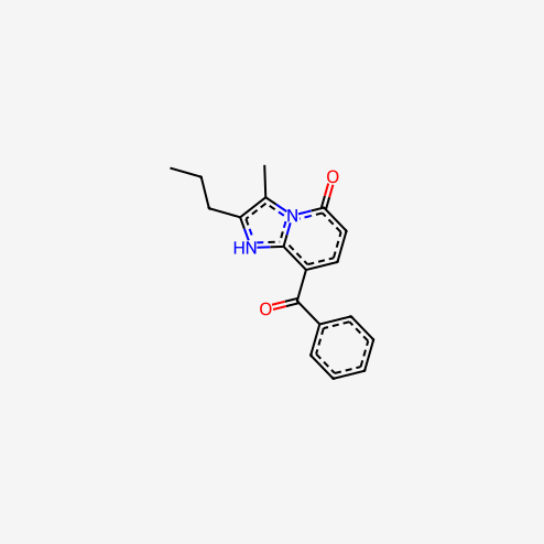 CCCc1[nH]c2c(C(=O)c3ccccc3)ccc(=O)n2c1C